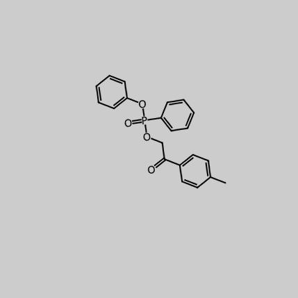 Cc1ccc(C(=O)COP(=O)(Oc2ccccc2)c2ccccc2)cc1